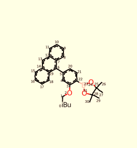 CCC(C)COc1cc(-c2c3ccccc3cc3ccccc23)ccc1B1OC(C)(C)C(C)(C)O1